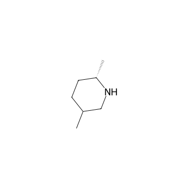 CC1CC[C@H](C)NC1